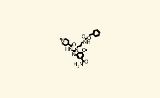 COc1cc(C(N)=O)cc2nc(NC(=O)C3CCN(C)CC3)n(CCCNC(=O)OCc3ccccc3)c12